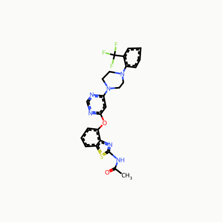 CC(=O)Nc1nc2c(Oc3cc(N4CCN(c5ccccc5C(F)(F)F)CC4)ncn3)cccc2s1